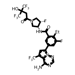 CCc1c(F)cc(-c2cc(C(F)(F)F)c3c(N)ncnn23)cc1C(=O)N[C@@H]1CN(C(=O)CC(O)(C(F)(F)F)C(F)(F)F)C[C@@H]1F